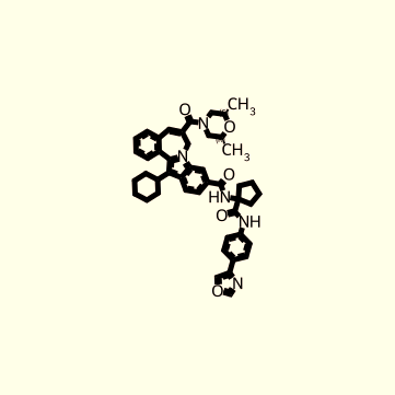 C[C@@H]1CN(C(=O)C2=Cc3ccccc3-c3c(C4CCCCC4)c4ccc(C(=O)NC5(C(=O)Nc6ccc(-c7cocn7)cc6)CCCC5)cc4n3C2)C[C@H](C)O1